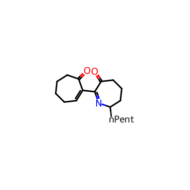 CCCCCC1CCCC(=O)C(C2=CCCCCC2=O)=N1